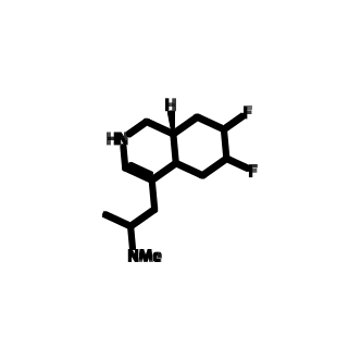 CNC(C)CC1=CNC[C@@H]2CC(F)C(F)CC12